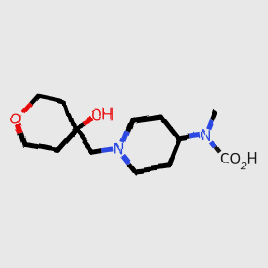 CN(C(=O)O)C1CCN(CC2(O)CCOCC2)CC1